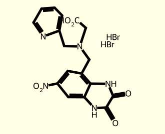 Br.Br.O=C(O)CN(Cc1ccccn1)Cc1cc([N+](=O)[O-])cc2[nH]c(=O)c(=O)[nH]c12